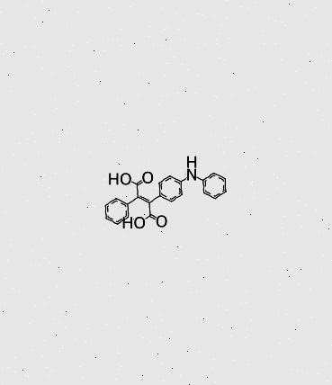 O=C(O)C(=C(C(=O)O)c1ccc(Nc2ccccc2)cc1)c1ccccc1